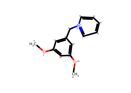 COc1cc(C[n+]2ccccc2)cc(OC)c1